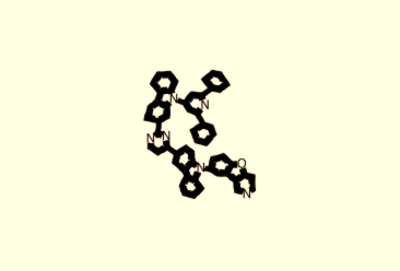 c1ccc(-c2cc(-n3c4ccccc4c4ccc(-c5nccc(-c6ccc7c(c6)c6ccccc6n7-c6ccc7oc8ccncc8c7c6)n5)cc43)cc(-c3ccccc3)n2)cc1